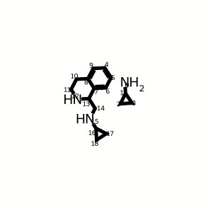 NC1CC1.c1ccc2c(c1)CCNC2CNC1CC1